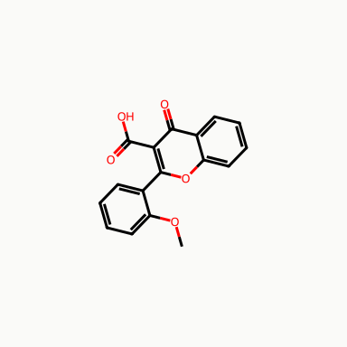 COc1ccccc1-c1oc2ccccc2c(=O)c1C(=O)O